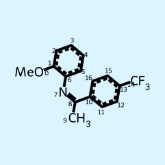 COc1ccccc1N=C(C)c1ccc(C(F)(F)F)cc1